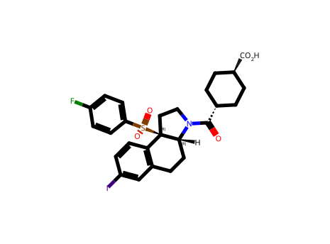 O=C(O)[C@H]1CC[C@H](C(=O)N2CC[C@@]3(S(=O)(=O)c4ccc(F)cc4)c4ccc(I)cc4CC[C@@H]23)CC1